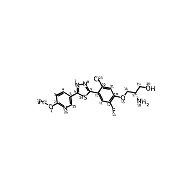 CC(C)Oc1ccc(-c2nnc(-c3cc(F)c(OC[C@@H](N)CO)cc3Cl)s2)cn1